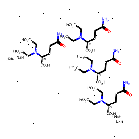 NC(=O)CC[C@@H](C(=O)O)N(CC(=O)O)CC(=O)O.NC(=O)CC[C@@H](C(=O)O)N(CC(=O)O)CC(=O)O.NC(=O)CC[C@@H](C(=O)O)N(CC(=O)O)CC(=O)O.NC(=O)CC[C@@H](C(=O)O)N(CC(=O)O)CC(=O)O.[NaH].[NaH].[NaH].[NaH]